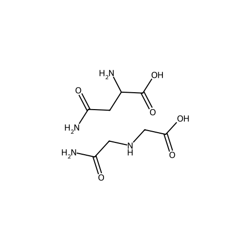 NC(=O)CC(N)C(=O)O.NC(=O)CNCC(=O)O